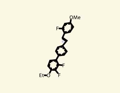 CCOc1ccc(-c2ccc(/C=C/c3ccc(OC)cc3F)cc2)c(F)c1F